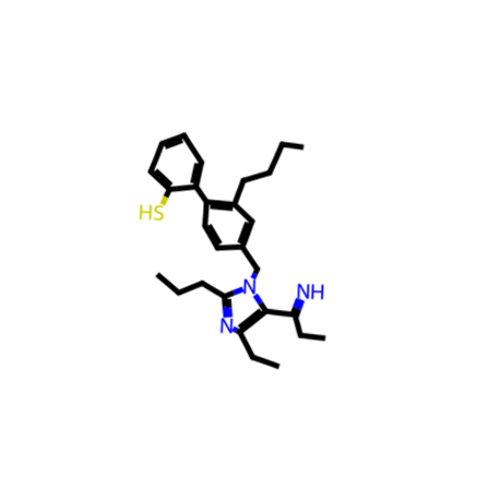 CCCCc1cc(Cn2c(CCC)nc(CC)c2C(=N)CC)ccc1-c1ccccc1S